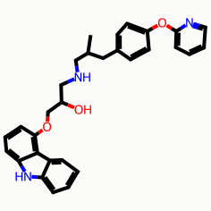 CC(CNCC(O)COc1cccc2[nH]c3ccccc3c12)Cc1ccc(Oc2ccccn2)cc1